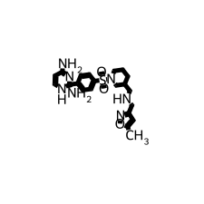 Cc1cc(CNCC2CCCN(S(=O)(=O)c3ccc(C4(N)N=C(N)C=CN4)cc3)C2)no1